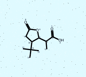 CC(C(=O)O)C1OC(=O)CC1C(C)(C)C